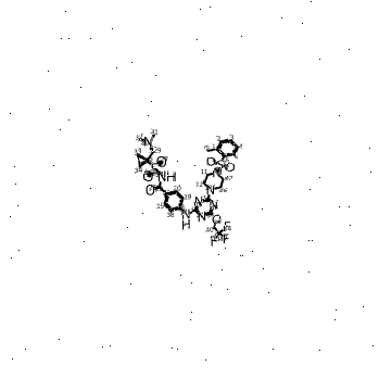 Cc1ccccc1S(=O)(=O)N1CCN(c2nc(Nc3ccc(C(=O)NS(=O)(=O)C4(CN(C)C)CC4)cc3)nc(OCC(F)(F)F)n2)CC1